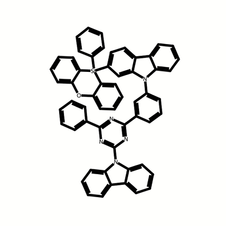 c1ccc(-c2nc(-c3cccc(-n4c5ccccc5c5ccc([Si]6(c7ccccc7)c7ccccc7Oc7ccccc76)cc54)c3)nc(-n3c4ccccc4c4ccccc43)n2)cc1